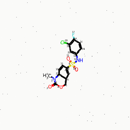 CN1C(=O)OCC2C=C(S(=O)(=O)Nc3ccc(F)c(Cl)c3)C=CC21